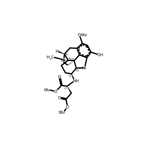 COc1cc(O)c2c3c1C[C@@H]1[C@@H]4CC[C@H](N[C@@H](CC(=O)OC(C)(C)C)C(=O)OC(C)(C)C)[C@H](O2)[C@]34CCN1C